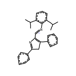 CC(C)c1cccc(C(C)C)c1/N=C/C1=C(c2ccccc2)CC(c2ccccc2)=N1